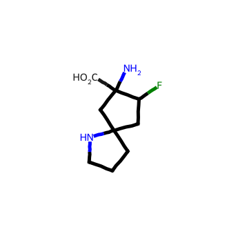 NC1(C(=O)O)CC2(CCCN2)CC1F